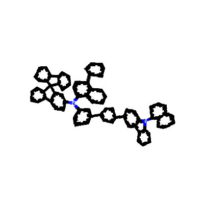 c1ccc(-c2ccc(N(c3cccc(-c4ccc(-c5ccc6c(c5)c5ccccc5n6-c5cccc6ccccc56)cc4)c3)c3ccc4c(c3)C3(c5ccccc5-c5ccccc53)c3ccccc3-4)c3ccccc23)cc1